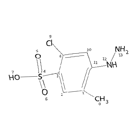 Cc1cc(S(=O)(=O)O)c(Cl)cc1NN